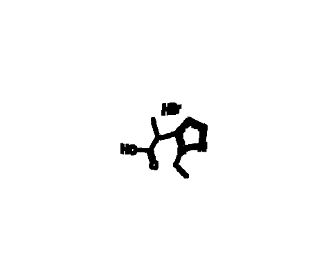 Br.CCn1nccc1C(C)C(=O)O